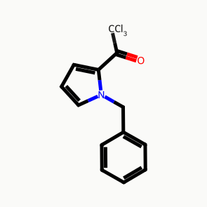 O=C(c1cccn1Cc1ccccc1)C(Cl)(Cl)Cl